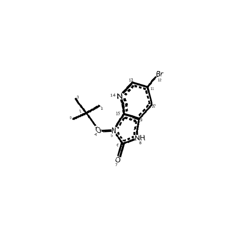 CC(C)(C)On1c(=O)[nH]c2cc(Br)cnc21